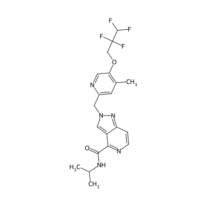 Cc1cc(Cn2cc3c(C(=O)NC(C)C)nccc3n2)ncc1OCC(F)(F)C(F)F